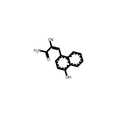 N#CC(=Cc1ccc(O)c2ccccc12)C(N)=O